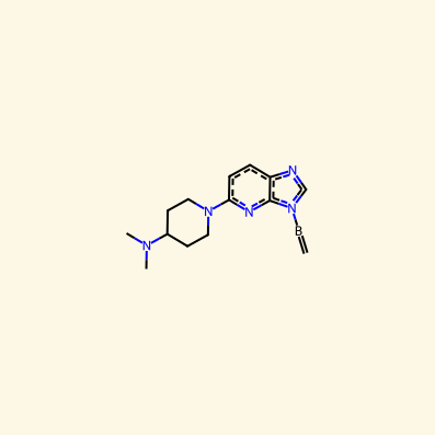 C=Bn1cnc2ccc(N3CCC(N(C)C)CC3)nc21